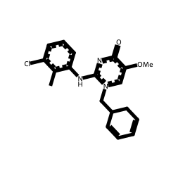 COc1cn(CC2C=CC=CC2)c(Nc2cccc(Cl)c2C)nc1=O